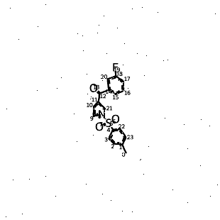 Cc1ccc(S(=O)(=O)n2ccc(C(=O)c3cccc(F)c3)c2)cc1